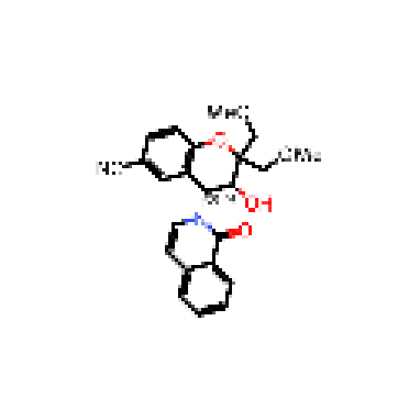 COCC1(COC)Oc2ccc(C#N)cc2[C@@H](n2ccc3ccccc3c2=O)[C@@H]1O